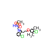 Cc1cc(OCCCc2cn(CC(=O)NS(C)(=O)=O)c3cccc(Cl)c23)cc(C)c1Cl